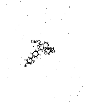 CC(C)(C)OC(=O)N1CCC[C@@]2(COCC(=O)N2)[C@@H]1COC1CCN(c2ncc(F)cn2)CC1